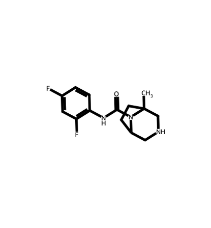 CC12CCC(CNC1)N2C(=O)Nc1ccc(F)cc1F